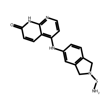 NSN1Cc2ccc(Nc3ccnc4[nH]c(=O)ccc34)cc2C1